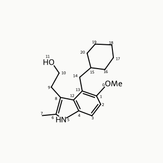 COc1ccc2[nH]c(C)c(CCO)c2c1CC1CCCCC1